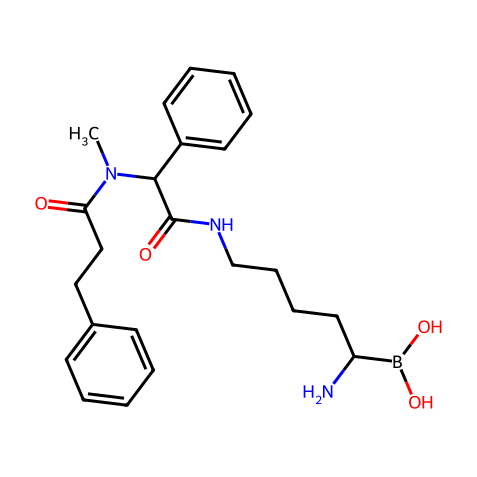 CN(C(=O)CCc1ccccc1)C(C(=O)NCCCCC(N)B(O)O)c1ccccc1